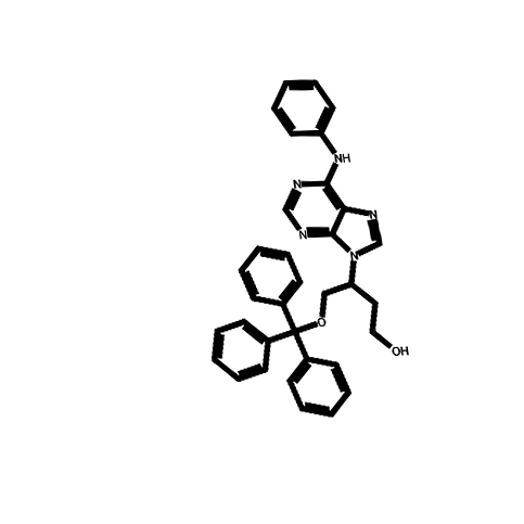 OCCC(COC(c1ccccc1)(c1ccccc1)c1ccccc1)n1cnc2c(Nc3ccccc3)ncnc21